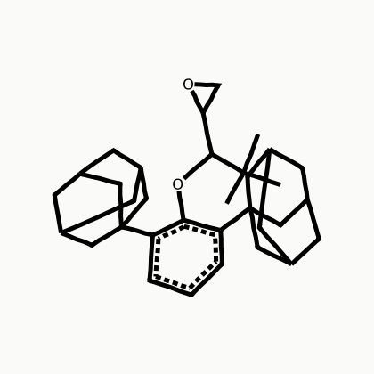 CC(C)(C)C(Oc1c(C23CC4CC(CC(C4)C2)C3)cccc1C12CC3CC(CC(C3)C1)C2)C1CO1